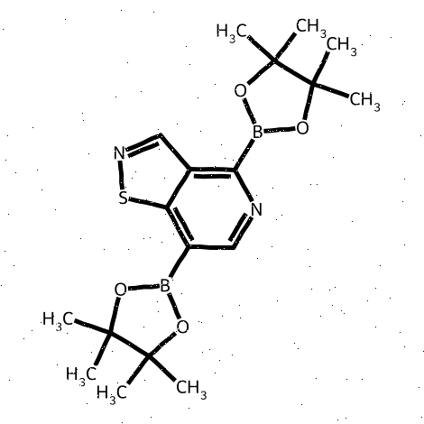 CC1(C)OB(c2ncc(B3OC(C)(C)C(C)(C)O3)c3sncc23)OC1(C)C